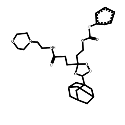 O=C(CCC1(CCOC(=O)Oc2ccccc2)OOC(C23CC4CC(CC(C4)C2)C3)O1)NCCN1CCOCC1